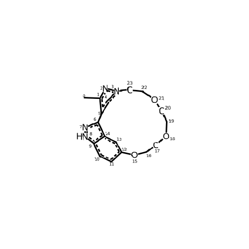 Cc1nn2cc1-c1n[nH]c3ccc(cc13)OCCOCCOCC2